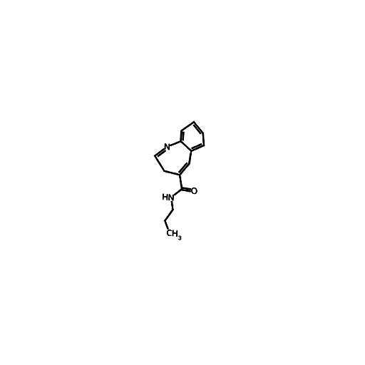 CCCNC(=O)C1=Cc2ccccc2N=CC1